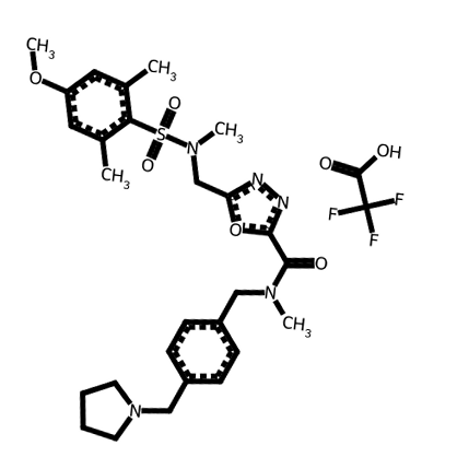 COc1cc(C)c(S(=O)(=O)N(C)Cc2nnc(C(=O)N(C)Cc3ccc(CN4CCCC4)cc3)o2)c(C)c1.O=C(O)C(F)(F)F